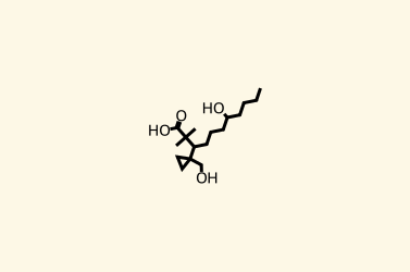 CCCCC(O)CCCC(C1(CO)CC1)C(C)(C)C(=O)O